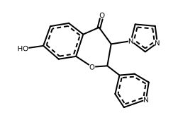 O=C1c2ccc(O)cc2OC(c2ccncc2)C1n1ccnc1